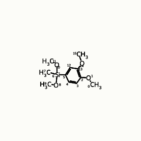 COc1ccc([Si](C)(OC)OC)cc1OC